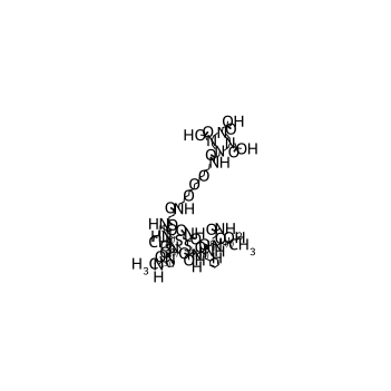 CCCC[C@H](NC(=O)CCC(=O)NCCCOCCOCCOCCCNC(=O)CN1CCN(CC(=O)O)CCN(CC(=O)O)CCN(CC(=O)O)CC1)C(=O)N[C@@H](CSC1=C(SC[C@H](NC(=O)[C@H](Cc2ccccc2)NC(=O)[C@H](CCC(N)=O)NC(=O)C[C@@H](C)O)C(=O)O)C(=O)NC1=O)C(=O)N1CCC[C@H]1C(=O)N1CCC[C@H]1C(=O)NC